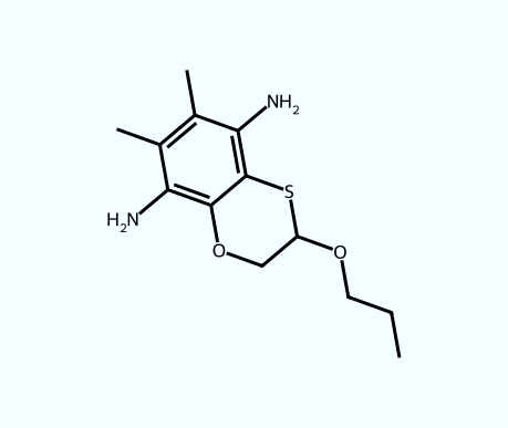 CCCOC1COc2c(N)c(C)c(C)c(N)c2S1